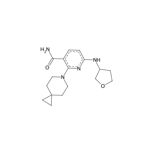 NC(=O)c1ccc(NC2CCOC2)nc1N1CCC2(CC1)CC2